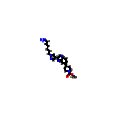 CC(C)(C)OC(=O)N1CCC(c2ccc3ncc(-c4cnn(CCCCCCN)c4)nc3c2)CC1